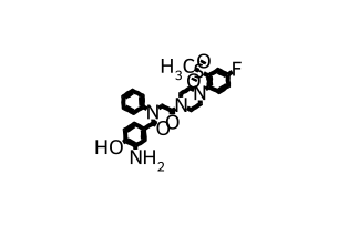 CS(=O)(=O)c1cc(F)ccc1N1CCN(C(=O)CN(C(=O)c2ccc(O)c(N)c2)c2ccccc2)CC1